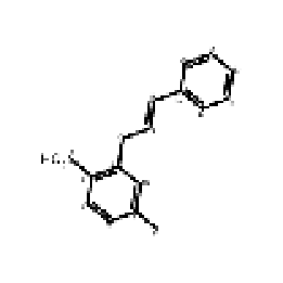 Cc1ccc(S(=O)(=O)O)c(CC=Cc2ccccc2)c1